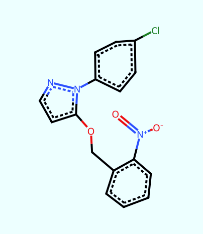 O=[N+]([O-])c1ccccc1COc1ccnn1-c1ccc(Cl)cc1